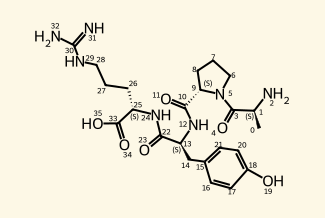 C[C@H](N)C(=O)N1CCC[C@H]1C(=O)N[C@@H](Cc1ccc(O)cc1)C(=O)N[C@@H](CCCNC(=N)N)C(=O)O